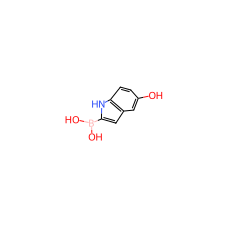 OB(O)c1cc2cc(O)ccc2[nH]1